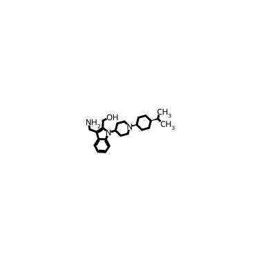 CC(C)[C@H]1CC[C@@H](N2CCC(n3c(CO)c(CN)c4ccccc43)CC2)CC1